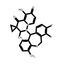 Cc1cccc2c1SCc1c(ccc(F)c1F)C2N1C(C)C2(CC2)C(=O)c2c(O)c(=O)ccn21